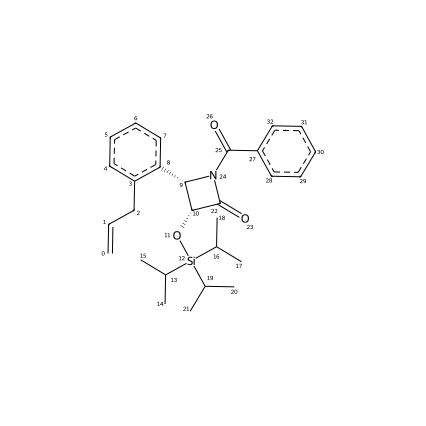 C=CCc1ccccc1[C@H]1[C@@H](O[Si](C(C)C)(C(C)C)C(C)C)C(=O)N1C(=O)c1ccccc1